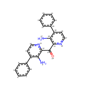 Nc1c(-c2ccccc2)ccnc1C(=O)c1nccc(-c2ccccc2)c1N